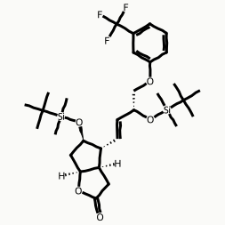 CC(C)(C)[Si](C)(C)O[C@H](/C=C/[C@@H]1[C@H]2CC(=O)O[C@H]2C[C@H]1O[Si](C)(C)C(C)(C)C)COc1cccc(C(F)(F)F)c1